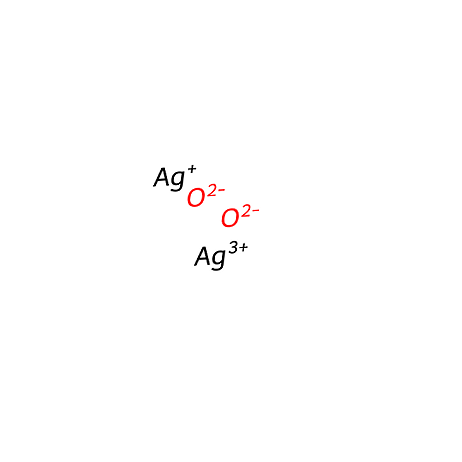 [Ag+3].[Ag+].[O-2].[O-2]